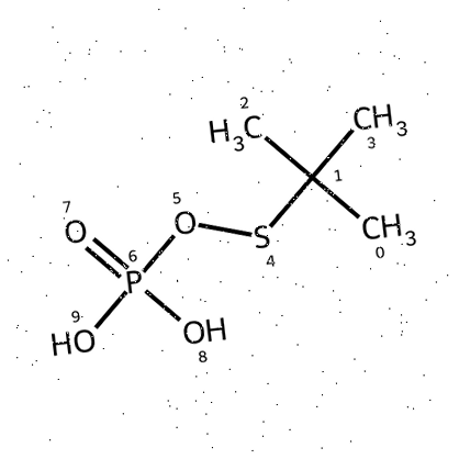 CC(C)(C)SOP(=O)(O)O